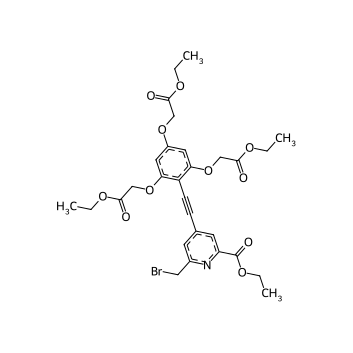 CCOC(=O)COc1cc(OCC(=O)OCC)c(C#Cc2cc(CBr)nc(C(=O)OCC)c2)c(OCC(=O)OCC)c1